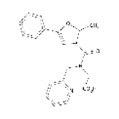 CC1OC(c2ccccc2)=CC1C(=O)N(CC(=O)O)Cc1ccccn1